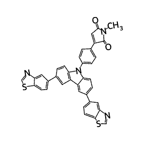 CN1C(=O)C=C(c2ccc(-n3c4ccc(-c5ccc6scnc6c5)cc4c4cc(-c5ccc6scnc6c5)ccc43)cc2)C1=O